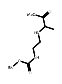 COC(=O)C(C)NCCNC(=O)OC(C)(C)C